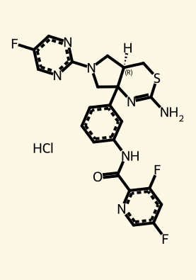 Cl.NC1=NC2(c3cccc(NC(=O)c4ncc(F)cc4F)c3)CN(c3ncc(F)cn3)C[C@H]2CS1